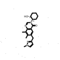 Cc1c(Cc2ccn(C)n2)cc2c(=O)n([C@@H]3CCCC[C@H]3O)cnc2c1C